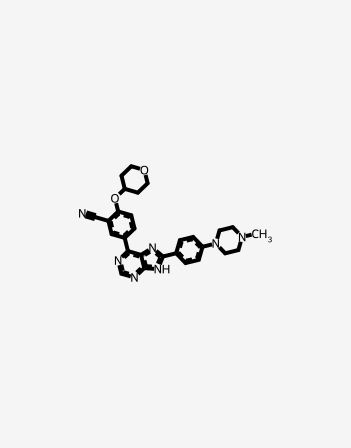 CN1CCN(c2ccc(-c3nc4c(-c5ccc(OC6CCOCC6)c(C#N)c5)ncnc4[nH]3)cc2)CC1